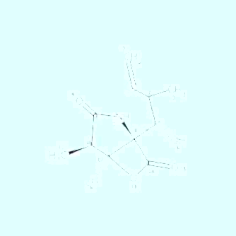 C=CC(C)[C@H](O)[C@@]12NC(=O)[C@H](C)[C@@H]1OC2=O